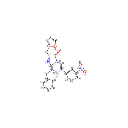 O=c1c(Cc2ccco2)nc2c(Cc3ccccc3)[nH]c(-c3cccc([N+](=O)[O-])c3)cn1-2